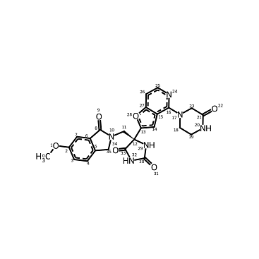 COc1ccc2c(c1)C(=O)N(C[C@@]1(c3cc4c(N5CCNC(=O)C5)nccc4o3)NC(=O)NC1=O)C2